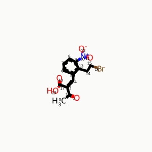 CC(=O)C(=Cc1cccc([N+](=O)[O-])c1CCBr)C(=O)O